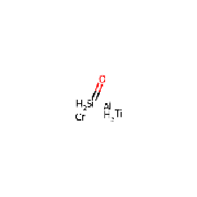 O=[SiH2].[AlH3].[Cr].[Ti]